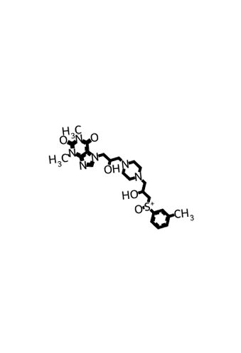 Cc1cccc([S+]([O-])CC(O)CN2CCN(CC(O)Cn3cnc4c3c(=O)n(C)c(=O)n4C)CC2)c1